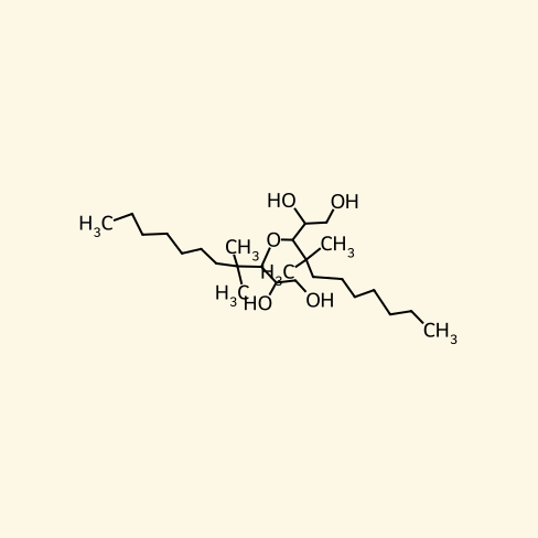 CCCCCCCC(C)(C)C(OC(C(O)CO)C(C)(C)CCCCCCC)C(O)CO